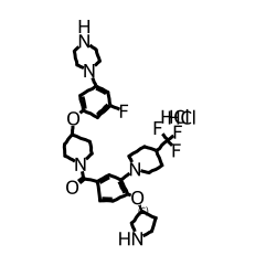 Cl.Cl.O=C(c1ccc(O[C@H]2CCNC2)c(N2CCC(C(F)(F)F)CC2)c1)N1CCC(Oc2cc(F)cc(N3CCNCC3)c2)CC1